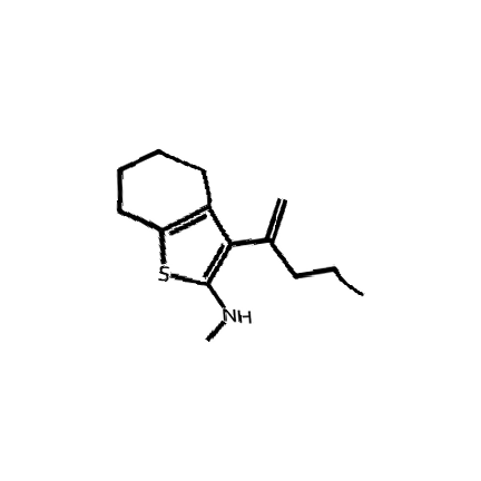 C=C(CCC)c1c(NC)sc2c1CCCC2